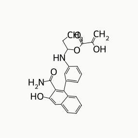 C=C(O)C(=O)OC(CC)Nc1cccc(-c2c(C(N)=O)c(O)cc3ccccc23)c1